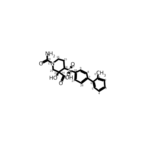 Cc1ccccc1-c1ccc(S(=O)(=O)C2CCN(C(N)=O)CC2(O)C(=O)O)cc1